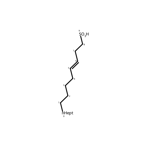 CCCCCCCCCCCC=CCCS(=O)(=O)O